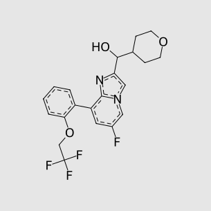 OC(c1cn2cc(F)cc(-c3ccccc3OCC(F)(F)F)c2n1)C1CCOCC1